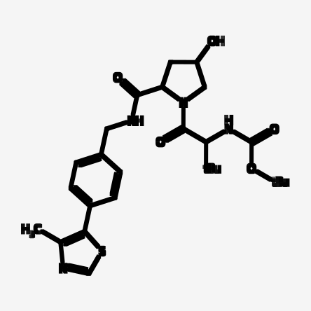 Cc1ncsc1-c1ccc(CNC(=O)C2CC(O)CN2C(=O)C(NC(=O)OC(C)(C)C)C(C)(C)C)cc1